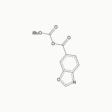 CC(C)COC(=O)OC(=O)c1ccc2ncoc2c1